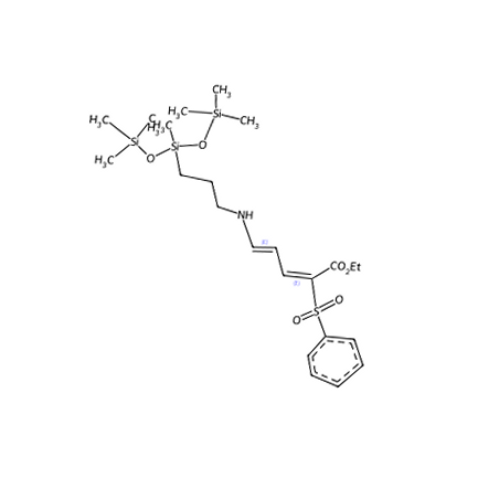 CCOC(=O)/C(=C\C=C\NCCC[Si](C)(O[Si](C)(C)C)O[Si](C)(C)C)S(=O)(=O)c1ccccc1